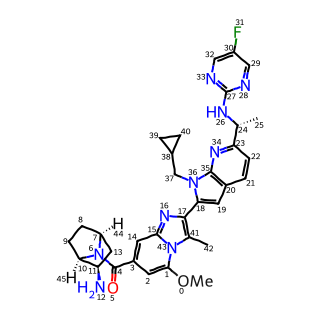 COc1cc(C(=O)N2[C@H]3CC[C@@H]2[C@H](N)C3)cc2nc(-c3cc4ccc([C@@H](C)Nc5ncc(F)cn5)nc4n3CC3CC3)c(C)n12